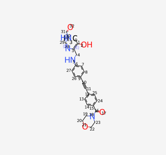 C/C(O)=C(CNc1ccc(C#Cc2ccc(C(=O)N3CCOCC3)cc2)cc1)\N=C/NC=O